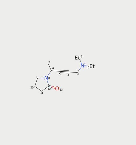 CCN(CC)CC#CC(C)N1CCCC1=O